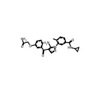 Cc1ccc(C(=O)NC2CC2)cc1-n1ncc(C(=O)c2cccc(OCC(N)=O)c2)c1N